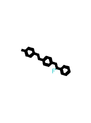 Cc1ccc(CCc2ccc(C[C@H](F)c3ccccc3)cc2)cc1